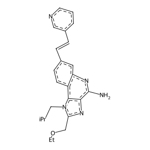 CCOCc1nc2c(N)nc3cc(C=Cc4cccnc4)ccc3c2n1CC(C)C